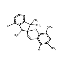 COc1cc([N+](=O)[O-])c(Br)c2c1OC1(C=C2)N(C)c2c(Cl)cccc2C1(C)C